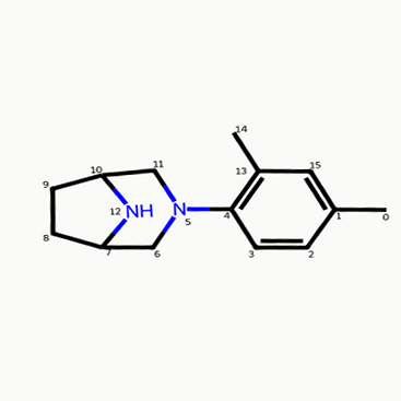 Cc1ccc(N2CC3CCC(C2)N3)c(C)c1